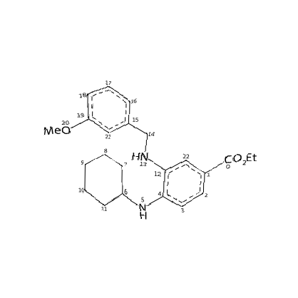 CCOC(=O)c1ccc(NC2CCCCC2)c(NCc2cccc(OC)c2)c1